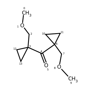 COCC1(C(=O)C2(COC)CC2)CC1